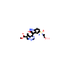 COC(=O)c1cn2ncnc(C3C(=O)Nc4ccc([S+]([O-])NCCO)cc43)c2c1C